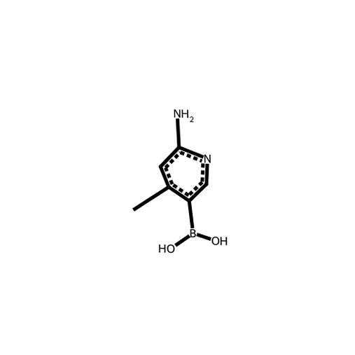 Cc1cc(N)ncc1B(O)O